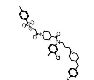 Cc1ccc(S(=O)(=O)OCC(=O)N2CCC(C(=O)N(CCCN3CCC(Cc4ccc(F)cc4)CC3)c3ccc(C)c(Cl)c3)CC2)cc1